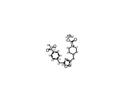 CC(C)(C)OC(=O)N1CCC(Cc2noc(Cc3ccc(S(C)(=O)=O)cc3)n2)CC1